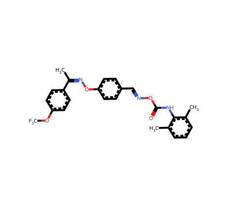 C/C(=N/Oc1ccc(/C=N/OC(=O)Nc2c(C)cccc2C)cc1)c1ccc(OC(F)(F)F)cc1